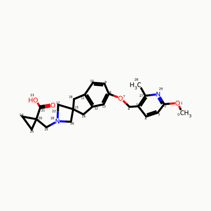 COc1ccc(COc2ccc3c(c2)CC2(C3)CN(CC3(C(=O)O)CC3)C2)c(C)n1